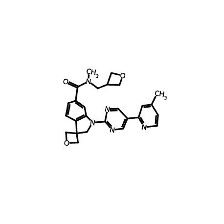 Cc1ccnc(-c2cnc(N3CC4(COC4)c4ccc(C(=O)N(C)CC5COC5)cc43)nc2)c1